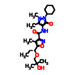 CC[C@@H](OCC(C)(C)O)c1onc(C(=O)Nc2c(C)n(C)n(C3CCCCC3)c2=O)c1C